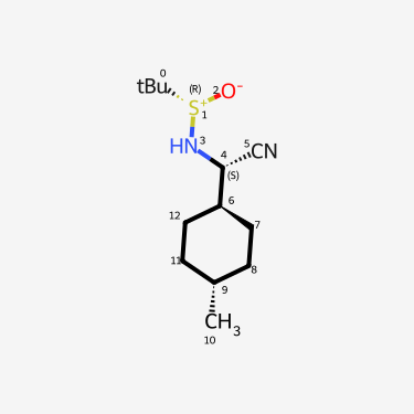 CC(C)(C)[S@+]([O-])N[C@H](C#N)[C@H]1CC[C@H](C)CC1